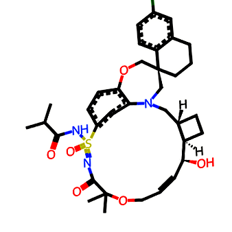 CC(C)C(=O)NS1(=O)=NC(=O)C(C)(C)OCC=C[C@H](O)[C@@H]2CC[C@H]2CN2C[C@@]3(CCCc4cc(Cl)ccc43)COc3ccc1cc32